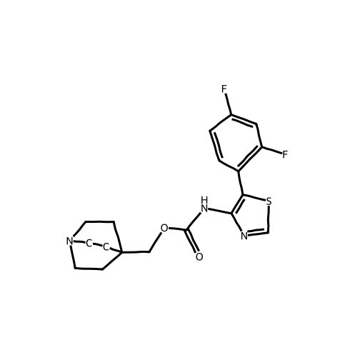 O=C(Nc1ncsc1-c1ccc(F)cc1F)OCC12CCN(CC1)CC2